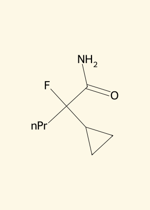 CCCC(F)(C(N)=O)C1CC1